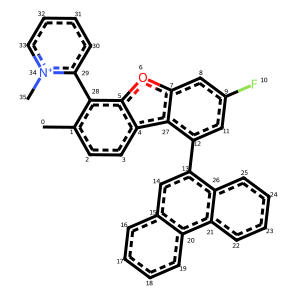 Cc1ccc2c(oc3cc(F)cc(-c4cc5ccccc5c5ccccc45)c32)c1-c1cccc[n+]1C